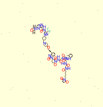 Cn1c(=O)n(C2CCC(=O)N(CNC(=O)CNC(=O)[C@H](Cc3ccccc3)NC(=O)CNC(=O)CNC(=O)CCCCCN3C(=O)C=CC3=O)C2=O)c2cccc(C#CCOC3CCN(CC4CCC(n5cc(NC(=O)c6cnn7ccc(N8C[C@H]9C[C@@H]8CO9)nc67)c(C(F)F)n5)CC4)CC3)c21